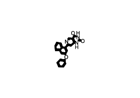 O=c1[nH]c(=O)c2cnc(-c3cc(Oc4ccccc4)cc4ccccc34)cc2[nH]1